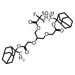 CC1(OC(=O)COCC(COC(=O)C(F)(F)S(=O)(=O)O)OCC(=O)OC2(C)C3CC4CC(C3)CC2C4)C2CC3CC(C2)CC1C3